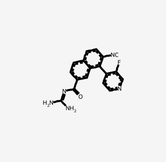 [C-]#[N+]c1ccc2ccc(C(=O)N=C(N)N)cc2c1-c1ccncc1F